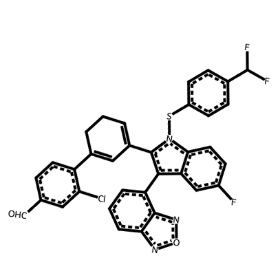 O=Cc1ccc(C2=CC(c3c(-c4cccc5nonc45)c4cc(F)ccc4n3Sc3ccc(C(F)F)cc3)=CCC2)c(Cl)c1